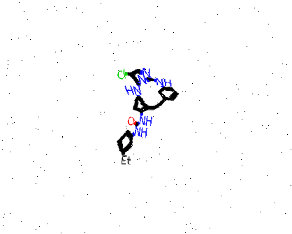 CCc1cccc(NC(=O)Nc2ccc3cc2CCC2C=CC=C(C2)Nc2ncc(Cl)c(n2)N3)c1